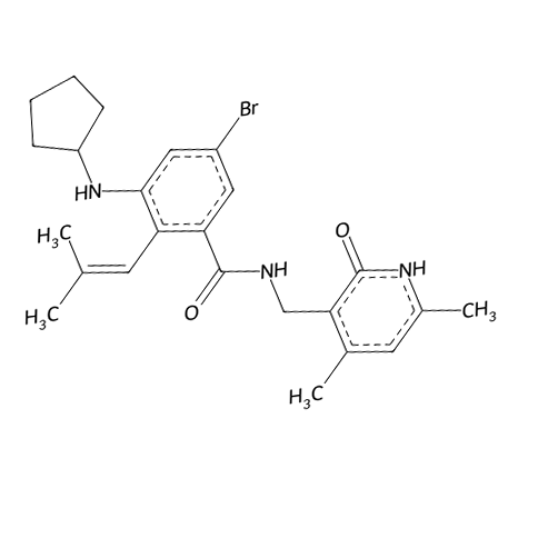 CC(C)=Cc1c(NC2CCCC2)cc(Br)cc1C(=O)NCc1c(C)cc(C)[nH]c1=O